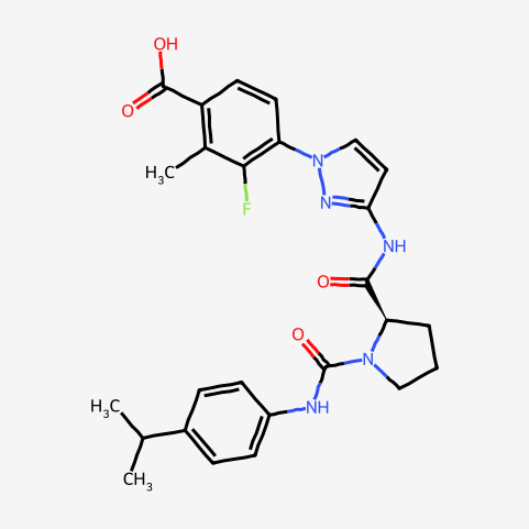 Cc1c(C(=O)O)ccc(-n2ccc(NC(=O)[C@H]3CCCN3C(=O)Nc3ccc(C(C)C)cc3)n2)c1F